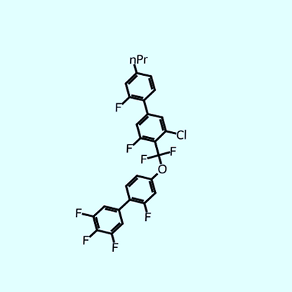 CCCc1ccc(-c2cc(F)c(C(F)(F)Oc3ccc(-c4cc(F)c(F)c(F)c4)c(F)c3)c(Cl)c2)c(F)c1